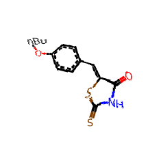 CCCCOc1ccc(/C=C2\SC(=S)NC2=O)cc1